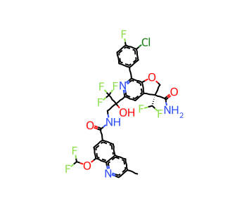 Cc1cnc2c(OC(F)F)cc(C(=O)NCC(O)(c3cc4c(c(-c5ccc(F)c(Cl)c5)n3)OC[C@]4(C(N)=O)C(F)F)C(F)(F)F)cc2c1